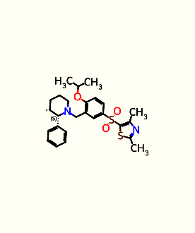 Cc1nc(C)c(S(=O)(=O)c2ccc(OC(C)C)c(CN3CCC[CH][C@H]3c3ccccc3)c2)s1